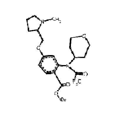 CN1CCCC1COc1ccc(C(=O)OC(C)(C)C)c(N(C(=O)C(F)(F)F)C2CCOCC2)c1